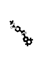 CC(C)(C)OC(=O)N1CCC(c2cnc(-c3ccc4c(c3)C(C)(C)CCC4(C)C)s2)CC1